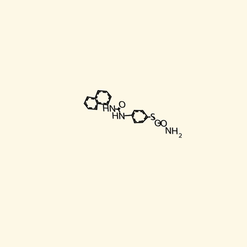 NOOSc1ccc(NC(=O)Nc2cccc3ccccc23)cc1